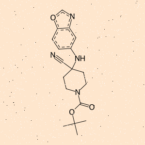 CC(C)(C)OC(=O)N1CCC(C#N)(Nc2ccc3ocnc3c2)CC1